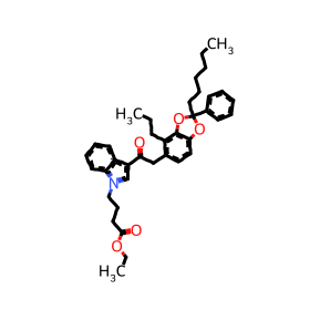 CCCCCCC1(c2ccccc2)Oc2ccc(CC(=O)c3cn(CCCC(=O)OCC)c4ccccc34)c(CCC)c2O1